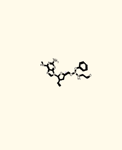 C=CC1C/C(=C\OP(NCC=O)Oc2ccccc2)OC1n1cnc2c(NC)nc(N)nc21